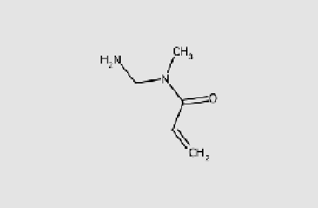 C=CC(=O)N(C)CN